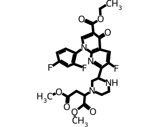 CCOC(=O)c1cn(-c2ccc(F)cc2F)c2nc(C3CN(C(CC(=O)OC)C(=O)OC)CCN3)c(F)cc2c1=O